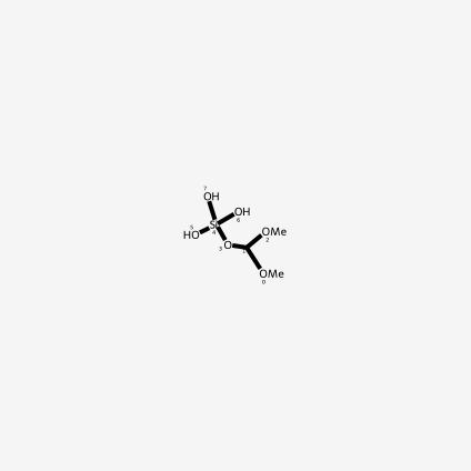 COC(OC)O[Si](O)(O)O